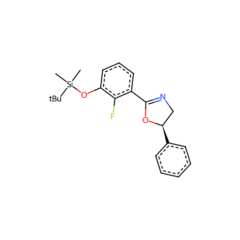 CC(C)(C)[Si](C)(C)Oc1cccc(C2=NC[C@@H](c3ccccc3)O2)c1F